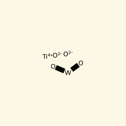 [O-2].[O-2].[O]=[W]=[O].[Ti+4]